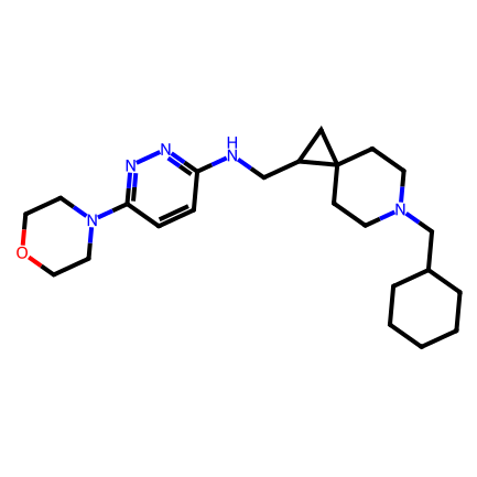 c1cc(N2CCOCC2)nnc1NCC1CC12CCN(CC1CCCCC1)CC2